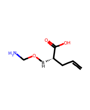 C=CC[C@H](BOCN)C(=O)O